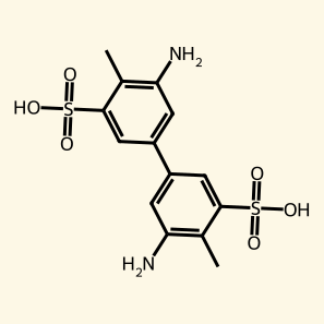 Cc1c(N)cc(-c2cc(N)c(C)c(S(=O)(=O)O)c2)cc1S(=O)(=O)O